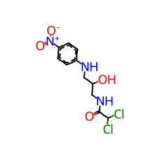 O=C(NCC(O)CNc1ccc([N+](=O)[O-])cc1)C(Cl)Cl